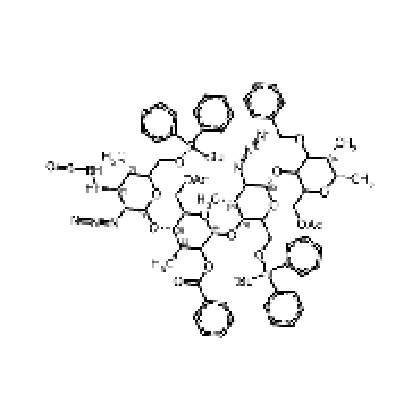 CC(=O)OCC1OC(C)[C@@H](C)C(OCc2ccccc2)C1O[C@@H]1OC(CO[Si](c2ccccc2)(c2ccccc2)C(C)(C)C)[C@@H](O[C@@H]2OC(COC(C)=O)[C@@H](O[C@@H]3OC(CO[Si](c4ccccc4)(c4ccccc4)C(C)(C)C)[C@@H](C)[C@H](PBB=O)C3N=[N+]=[N-])[C@H](C)C2OC(=O)c2ccccc2)[C@H](C)C1N=[N+]=[N-]